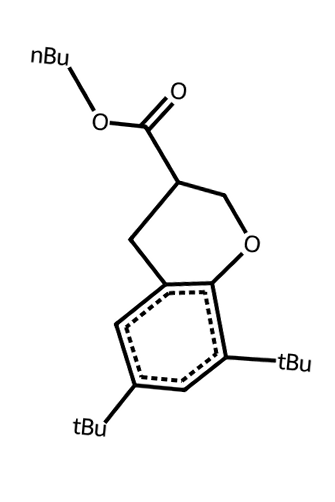 CCCCOC(=O)C1COc2c(cc(C(C)(C)C)cc2C(C)(C)C)C1